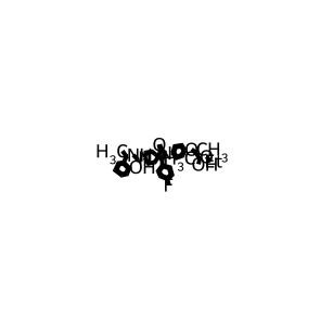 CCOC(O)C(C)(C)Oc1ccc(N2C(=O)C3(CCN(C(O)NC(C)c4ccccc4)CC3)C2c2ccc(F)cc2)cc1